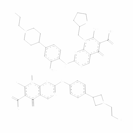 CCn1c(N)c(C(N)=O)c(=O)c2cnc(Nc3ccc(C4CN(CCC(F)(F)F)C4)cc3)nc21.COc1cc(C2CCN(CCC(F)(F)F)CC2)ccc1Nc1ncc2c(=O)c(C(N)=O)c(N)n(CC3CCCO3)c2n1